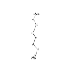 [Na][CH2]CCCC[CH2][Na]